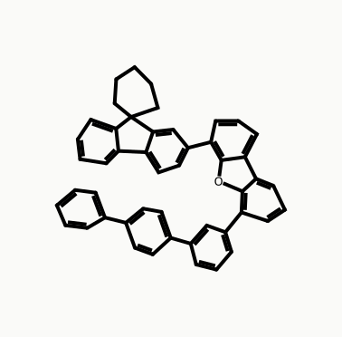 c1ccc(-c2ccc(-c3cccc(-c4cccc5c4oc4c(-c6ccc7c(c6)C6(CCCCC6)c6ccccc6-7)cccc45)c3)cc2)cc1